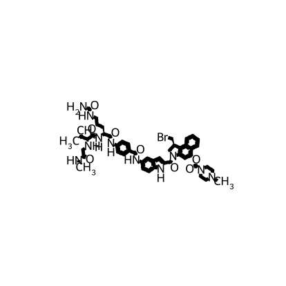 CNC(=O)CN[C@H](C(=O)N[C@@H](CCCNC(N)=O)C(=O)Nc1ccc(C(=O)Nc2ccc3[nH]c(C(=O)N4C[C@@H](CBr)c5c4cc(OC(=O)N4CCN(C)CC4)c4ccccc54)cc3c2)cc1)C(C)C